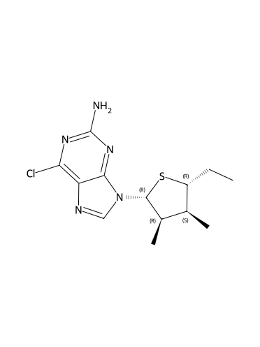 CC[C@H]1S[C@@H](n2cnc3c(Cl)nc(N)nc32)[C@H](C)[C@@H]1C